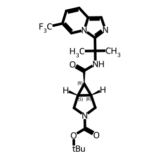 CC(C)(C)OC(=O)N1C[C@@H]2[C@H](C1)[C@H]2C(=O)NC(C)(C)c1ncc2ccc(C(F)(F)F)cn12